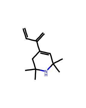 C=CC(=C)C1=CC(C)(C)NC(C)(C)C1